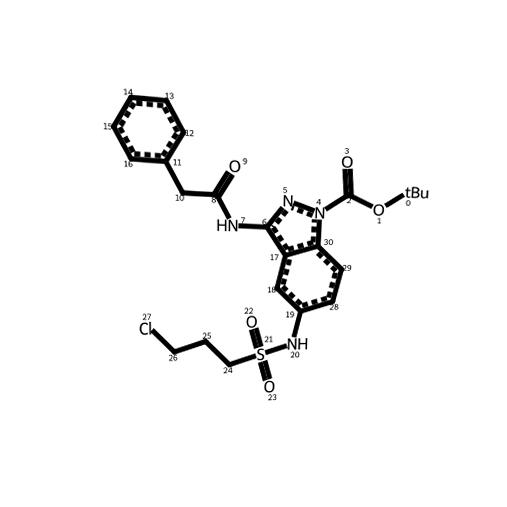 CC(C)(C)OC(=O)n1nc(NC(=O)Cc2ccccc2)c2cc(NS(=O)(=O)CCCCl)ccc21